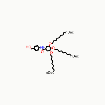 CCCCCCCCCCCCCCCCCCOC1CC(C(=O)Nc2ccc(CO)cc2)CC(OCCCCCCCCCCCCCCCCCC)C1OCCCCCCCCCCCCCCCCCC